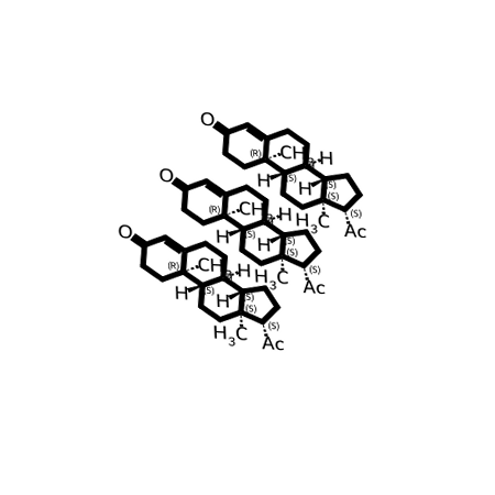 CC(=O)[C@H]1CC[C@H]2[C@@H]3CCC4=CC(=O)CC[C@]4(C)[C@H]3CC[C@]12C.CC(=O)[C@H]1CC[C@H]2[C@@H]3CCC4=CC(=O)CC[C@]4(C)[C@H]3CC[C@]12C.CC(=O)[C@H]1CC[C@H]2[C@@H]3CCC4=CC(=O)CC[C@]4(C)[C@H]3CC[C@]12C